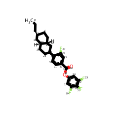 CCC[C@H]1CC[C@@H]2CC(c3ccc(C(=O)Oc4cc(F)c(F)c(F)c4)cc3F)CC[C@H]2C1